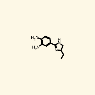 CCC1CNC(c2ccc(N)c(N)c2)=N1